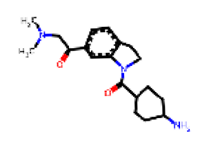 CN(C)CC(=O)c1ccc2c(c1)N(C(=O)C1CCC(N)CC1)CC2